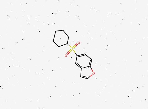 O=S(=O)(c1ccc2occc2c1)C1CCCCC1